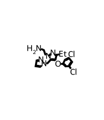 CCc1nn(CCN)c(Cn2cccn2)c1Oc1cc(Cl)cc(Cl)c1